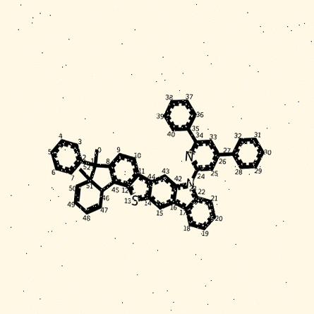 CC1(c2ccccc2)c2ccc3c(sc4cc5c6ccccc6n(-c6cc(-c7ccccc7)cc(-c7ccccc7)n6)c5cc43)c2C2C=CC=CC21C